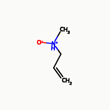 C=CC[NH+](C)[O-]